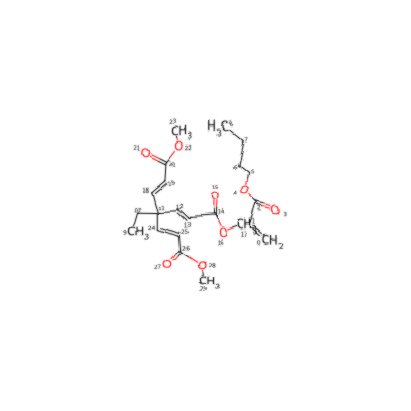 C=CC(=O)OCCCC.CCC(C=CC(=O)OC)(C=CC(=O)OC)C=CC(=O)OC